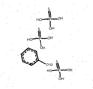 O=Cc1ccccc1.OP(O)(O)=S.OP(O)(O)=S.OP(O)(O)=S